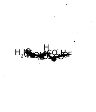 NS(=O)(=O)c1nc2ccc(OCc3cn(CC(=O)N[C@H](CSCc4cccc(OCCOCCOCCF)c4)C(=O)O)nn3)cc2s1